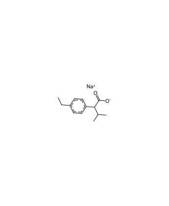 CCc1ccc(C(C(=O)[O-])C(C)C)cc1.[Na+]